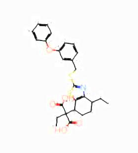 CCC1CCC(C(CC)(C(=O)O)C(=O)O)c2sc(SCc3cccc(Oc4ccccc4)c3)nc21